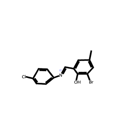 Cc1cc(Br)c(O)c(/C=N/c2ccc(Cl)cc2)c1